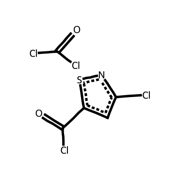 O=C(Cl)Cl.O=C(Cl)c1cc(Cl)ns1